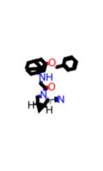 N#C[C@@H]1[C@@H]2C[C@@H]2CN1C(=O)CNC12CC3CC(C1)CC(OCc1ccccc1)(C3)C2